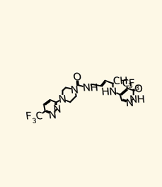 CC(/C=C/CNC(=O)N1CCN(c2ccc(C(F)(F)F)nn2)CC1)Nc1cn[nH]c(=O)c1C(F)(F)F